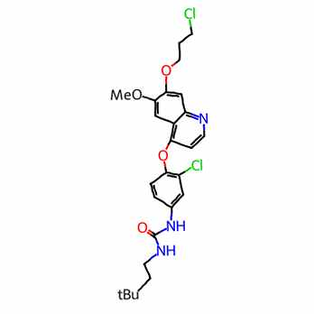 COc1cc2c(Oc3ccc(NC(=O)NCCC(C)(C)C)cc3Cl)ccnc2cc1OCCCCl